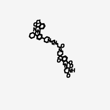 O=C1CC[C@H](N2Cc3c(ccc4c3OCC43CCN(C(=O)CCN4CC(N5CCC(c6ccc7c(c6)-n6c(nc(=O)c8c(Cl)cccc86)C76CCCCC6)CC5)C4)CC3)C2=O)C(=O)N1